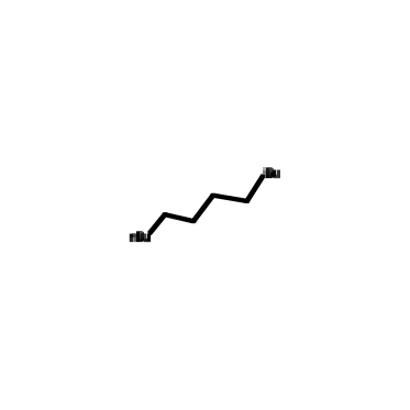 [CH2]C(CC)CCCCCCCC